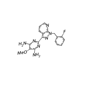 COc1c(N)nc(-c2nn(Cc3ccccc3F)c3ncccc23)nc1N